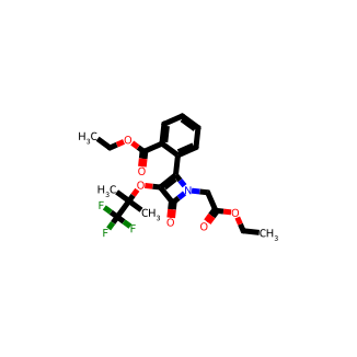 CCOC(=O)CN1C(=O)C(OC(C)(C)C(F)(F)F)=C1c1ccccc1C(=O)OCC